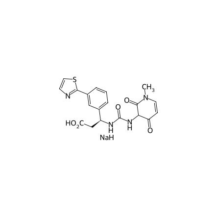 CN1C=CC(=O)C(NC(=O)N[C@@H](CC(=O)O)c2cccc(-c3nccs3)c2)C1=O.[NaH]